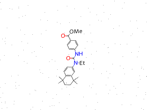 CCN(C(=O)Nc1ccc(C(=O)OC)cc1)c1ccc2c(c1)C(C)(C)CCC2(C)C